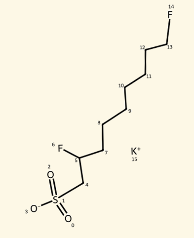 O=S(=O)([O-])CC(F)CCCCCCCF.[K+]